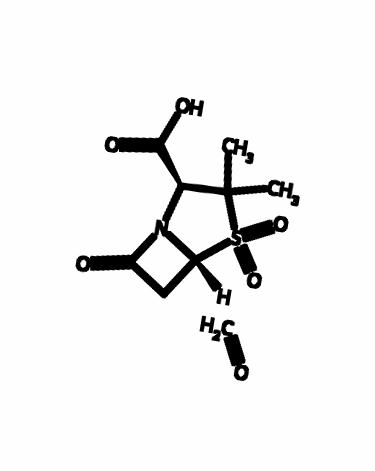 C=O.CC1(C)[C@H](C(=O)O)N2C(=O)C[C@H]2S1(=O)=O